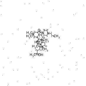 CCCN1CCN(C(=O)C23CCC(C)(C)CC2C2=CCC45C(C)(CCC(C)O)C4(C)CCC5(C)[C@]2(C)CC3)CC1